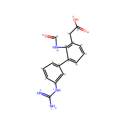 N=C(N)Nc1cccc(-c2cccc(CC(=O)O)c2NC=O)c1